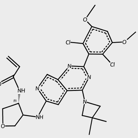 C=CC(=O)N[C@H]1COCC1Nc1cc2c(N3CC(C)(C)C3)nc(-c3c(Cl)c(OC)cc(OC)c3Cl)nc2cn1